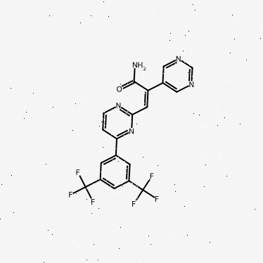 NC(=O)/C(=C\c1nccc(-c2cc(C(F)(F)F)cc(C(F)(F)F)c2)n1)c1cncnc1